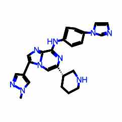 Cn1cc(-c2cnc3c(Nc4ccc(-n5ccnc5)cc4)nc([C@H]4CCCNC4)cn23)cn1